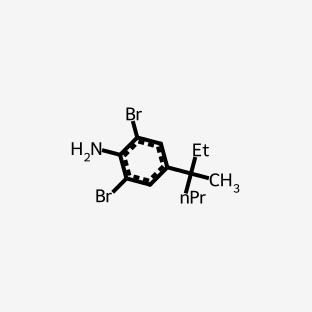 CCCC(C)(CC)c1cc(Br)c(N)c(Br)c1